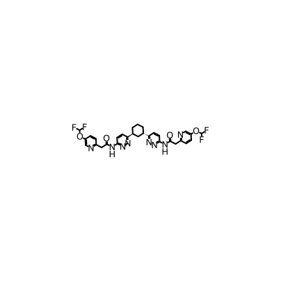 O=C(Cc1ccc(OC(F)F)cn1)Nc1ccc([C@H]2CCC[C@H](c3ccc(NC(=O)Cc4ccc(OC(F)F)cn4)nn3)C2)nn1